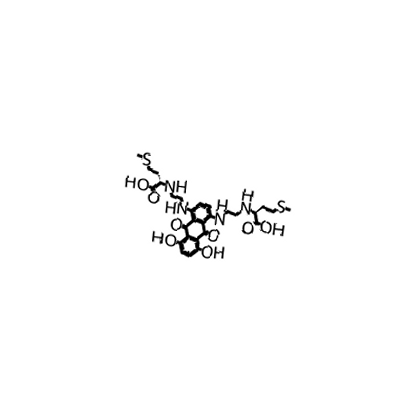 CSCC[C@H](NCCNc1ccc(NCCN[C@@H](CCSC)C(=O)O)c2c1C(=O)c1c(O)ccc(O)c1C2=O)C(=O)O